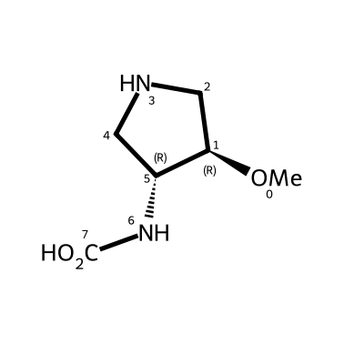 CO[C@@H]1CNC[C@H]1NC(=O)O